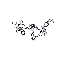 CCC(OC(=O)c1ccccc1)C(C)C1OC1CC(C)/C=C/C=C(\C)C1OC(=O)CC(C)CCC(C)(C)C(OC(=O)N2CCN(C)CC2)/C=C/C1C